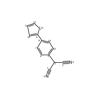 N#CC(C#N)c1ccc(-c2cccs2)cc1